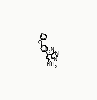 Nc1ncnc2c1c(-c1ccc(Oc3ccccc3)cc1)cn2N